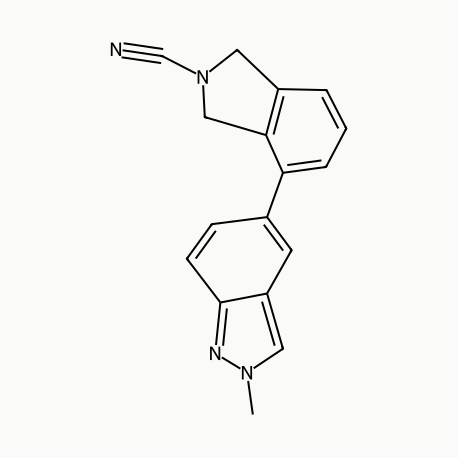 Cn1cc2cc(-c3cccc4c3CN(C#N)C4)ccc2n1